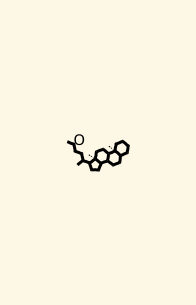 CC(=O)CCC(C)C1CCC2C3CCC4CCCC[C@]4(C)C3CC[C@]12C